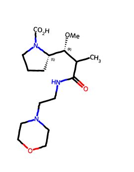 CO[C@H](C(C)C(=O)NCCN1CCOCC1)[C@@H]1CCCN1C(=O)O